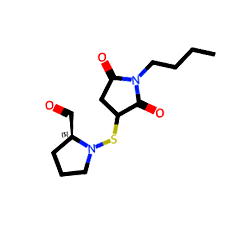 CCCCN1C(=O)CC(SN2CCC[C@H]2C=O)C1=O